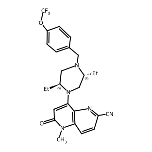 CC[C@@H]1CN(c2cc(=O)n(C)c3ccc(C#N)nc23)[C@@H](CC)CN1Cc1ccc(OC(F)(F)F)cc1